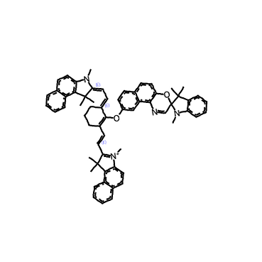 CN1/C(=C/C=C2\CCCC(/C=C/C3=[N+](C)c4ccc5ccccc5c4C3(C)C)=C2Oc2ccc3ccc4c(c3c2)N=CC2(O4)N(C)c3ccccc3C2(C)C)C(C)(C)c2c1ccc1ccccc21